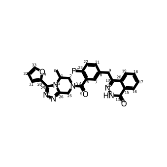 CC1CN(C(=O)c2cc(Cc3n[nH]c(=O)c4ccccc34)ccc2F)Cc2nnc(-c3ccco3)n21